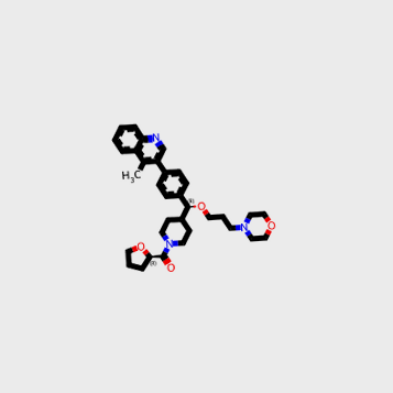 Cc1c(-c2ccc([C@H](OCCCN3CCOCC3)C3CCN(C(=O)[C@H]4CCCO4)CC3)cc2)cnc2ccccc12